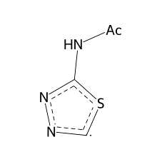 CC(=O)Nc1nn[c]s1